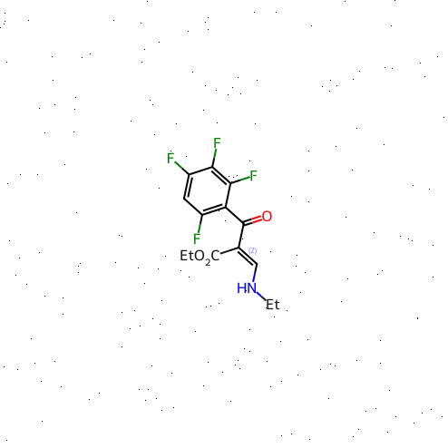 CCN/C=C(\C(=O)OCC)C(=O)c1c(F)cc(F)c(F)c1F